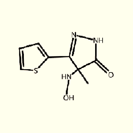 CC1(NO)C(=O)NN=C1c1cccs1